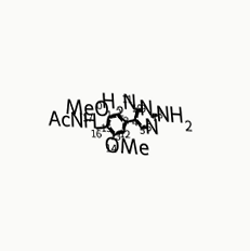 COc1cc(-c2cnc(N)nc2N)cc(OC)c1CNC(C)=O